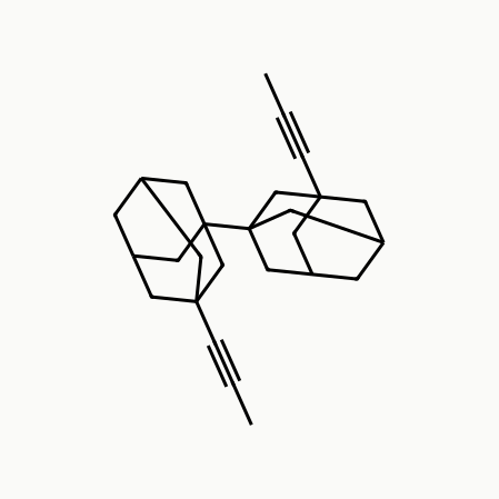 CC#CC12CC3CC(C1)CC(C14CC5CC(CC(C#CC)(C5)C1)C4)(C3)C2